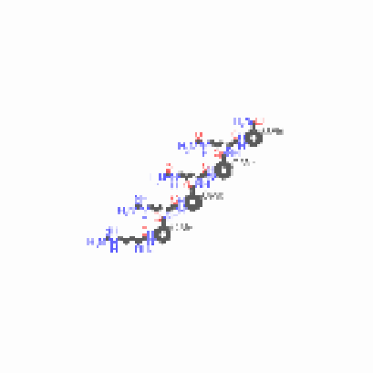 COc1ccc(NC(=O)[C@@H](CCCNC(N)=O)NC(=O)c2cc(NC(=O)[C@@H](CCCNC(N)=O)NC(=O)c3cc(NC(=O)[C@@H](CCCNC(=N)N)NC(=O)c4cc(NC(=O)[C@H](N)CCCNC(=N)N)ccc4OC)ccc3OC)ccc2OC)cc1C(N)=O